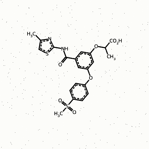 Cc1csc(NC(=O)c2cc(Oc3ccc(S(C)(=O)=O)cc3)cc(OC(C)C(=O)O)c2)n1